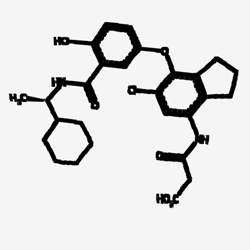 C[C@H](NC(=O)c1cc(Oc2c(Cl)cc(NC(=O)CC(=O)O)c3c2CCC3)ccc1O)C1CCCCC1